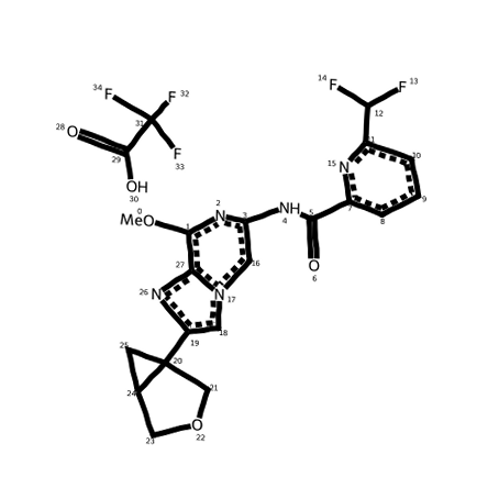 COc1nc(NC(=O)c2cccc(C(F)F)n2)cn2cc(C34COCC3C4)nc12.O=C(O)C(F)(F)F